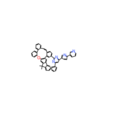 CC1(C)c2ccccc2-c2cc3c(cc21)Oc1ccccc1-c1ccccc1/C=C\c1ccc(-c2nc(-c4ccccc4)cc(-c4ccc(-c5cccnc5)nc4)n2)cc1-3